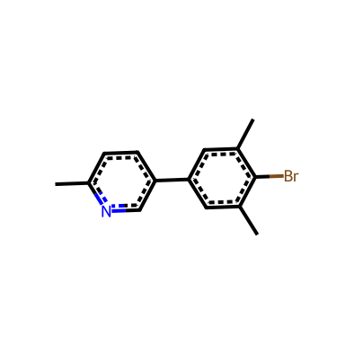 Cc1ccc(-c2cc(C)c(Br)c(C)c2)cn1